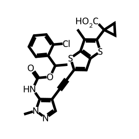 Cc1c(C2(C(=O)O)CC2)sc2cc(C#Cc3cnn(C)c3NC(=O)OC(C)c3ccccc3Cl)sc12